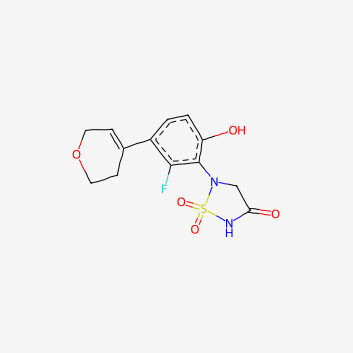 O=C1CN(c2c(O)ccc(C3=CCOCC3)c2F)S(=O)(=O)N1